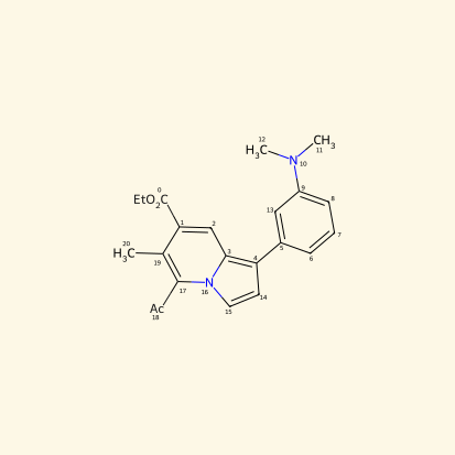 CCOC(=O)c1cc2c(-c3cccc(N(C)C)c3)ccn2c(C(C)=O)c1C